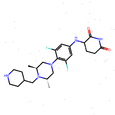 C[C@H]1CN(c2c(F)cc(NC3CCC(=O)NC3=O)cc2F)C[C@H](C)N1CC1CCNCC1